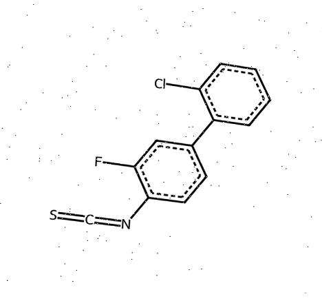 Fc1cc(-c2ccccc2Cl)ccc1N=C=S